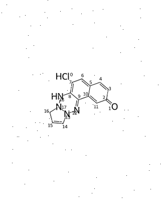 Cl.O=C1C=Cc2ccc3c(c2=C1)=NN1C=CCN1N3